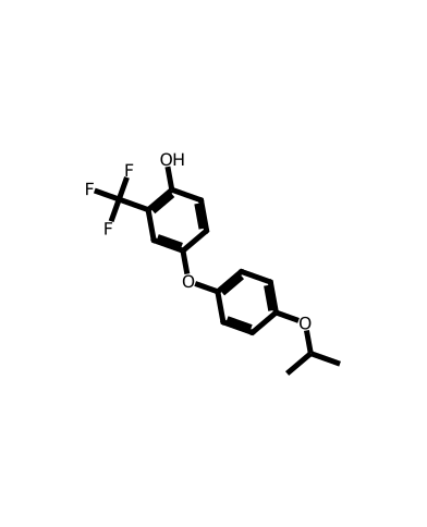 CC(C)Oc1ccc(Oc2ccc(O)c(C(F)(F)F)c2)cc1